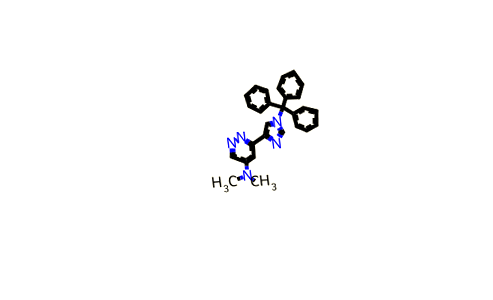 CN(C)c1cnnc(-c2cn(C(c3ccccc3)(c3ccccc3)c3ccccc3)cn2)c1